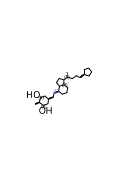 C=C1[C@H](O)CC(=C/C=C2\CCC[C@@]3(C)C2CCC3[C@@H](C)CCC=C2CCCC2)C[C@H]1O